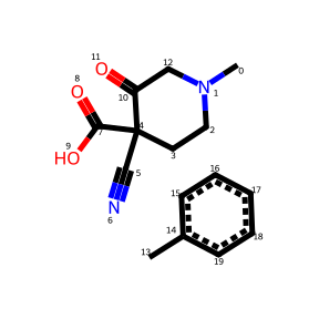 CN1CCC(C#N)(C(=O)O)C(=O)C1.Cc1ccccc1